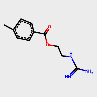 Cc1ccc(C(=O)OCCNC(=N)N)cc1